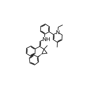 CCN1CC=C(C)C=C1c1ccccc1N/C=C(/c1ccccc1)C1(C)C[C@H]1c1ccccc1